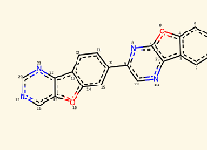 c1ccc2c(c1)oc1nc(-c3ccc4c(c3)oc3cncnc34)cnc12